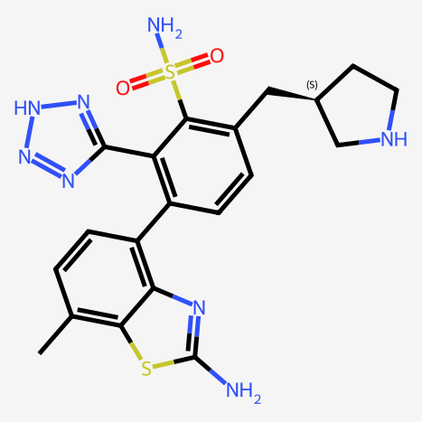 Cc1ccc(-c2ccc(C[C@H]3CCNC3)c(S(N)(=O)=O)c2-c2nn[nH]n2)c2nc(N)sc12